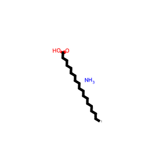 N.[CH]CCCCCCCCCCCCCCCCCC(=O)O